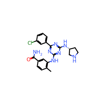 Cc1ccc(C(N)=O)cc1Nc1nc(N[C@@H]2CCNC2)nc(-c2cccc(Cl)c2)n1